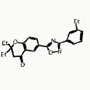 CCc1cccc(-c2noc(-c3ccc4c(c3)C(=O)CC(CC)(CC)O4)n2)c1